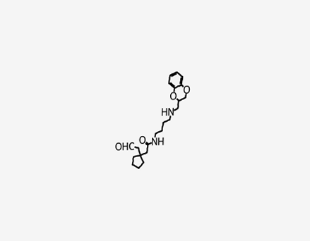 O=CCC1(CC(=O)NCCCCNCC2COc3ccccc3O2)CCCC1